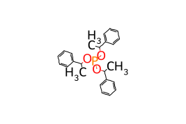 CC(OP(OC(C)c1ccccc1)OC(C)c1ccccc1)c1ccccc1